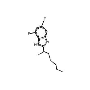 CCCCCC(C)c1nc2cc(F)cc(F)c2[nH]1